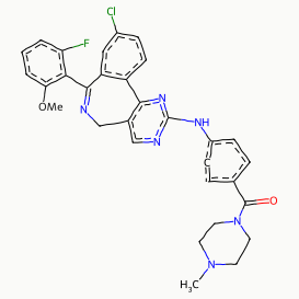 COc1cccc(F)c1C1=NCc2cnc(Nc3ccc(C(=O)N4CCN(C)CC4)cc3)nc2-c2ccc(Cl)cc21